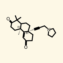 CC1(C)C(=O)CC[C@]2(C)C3=CC(=O)CC[C@]3(C#CCN3CCCC3)CCC12